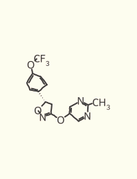 Cc1ncc(OC2=NO[C@H](c3ccc(OC(F)(F)F)cc3)C2)cn1